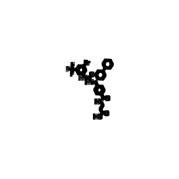 O=C(O)CCNC(=O)c1ccc(C(NC(=O)Nc2cc(Br)cc(C(F)(F)F)c2)[C@H]2CC[C@H](C3CCCCC3)CC2)cc1